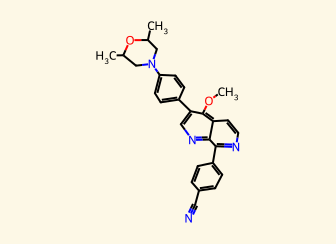 COc1c(-c2ccc(N3CC(C)OC(C)C3)cc2)cnc2c(-c3ccc(C#N)cc3)nccc12